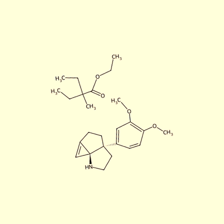 CCOC(=O)C(C)(CC)CC.COc1ccc([C@]23CCN[C@]24C=C4CC3)cc1OC